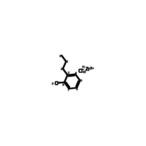 CCCc1ccccc1[O-].[Cl-].[Zr+2]